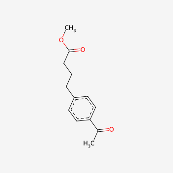 COC(=O)CCCc1ccc(C(C)=O)cc1